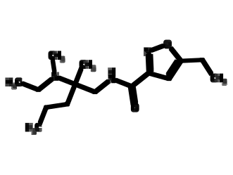 CCCC(C)(CNC(=O)c1cc(CC)on1)N(C)CC